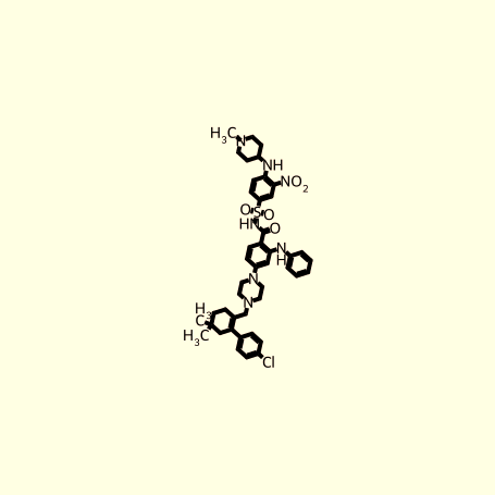 CN1CCC(Nc2ccc(S(=O)(=O)NC(=O)c3ccc(N4CCN(CC5=C(c6ccc(Cl)cc6)CC(C)(C)CC5)CC4)cc3Nc3ccccc3)cc2[N+](=O)[O-])CC1